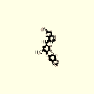 Cc1cc(Nc2ncnc3cc(C(C)(C)C)sc23)ccc1Oc1ccc2scnc2c1